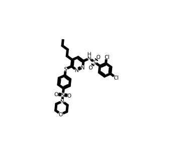 CCCCc1cc(NS(=O)(=O)c2ccc(Cl)cc2Cl)nnc1Sc1ccc(S(=O)(=O)N2CCOCC2)cc1